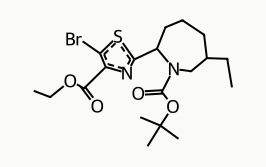 CCOC(=O)c1nc(C2CCCC(CC)CN2C(=O)OC(C)(C)C)sc1Br